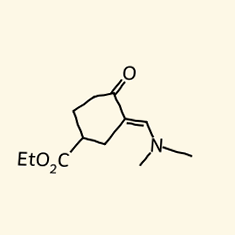 CCOC(=O)C1CCC(=O)C(=CN(C)C)C1